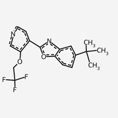 CC(C)(C)c1ccc2oc(-c3ccncc3OCC(F)(F)F)nc2c1